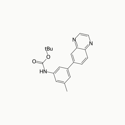 Cc1cc(NC(=O)OC(C)(C)C)cc(-c2ccc3nccnc3c2)c1